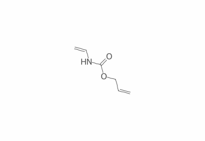 C=CCOC(=O)NC=C